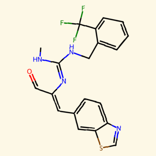 CN/C(=N\C(C=O)=C/c1ccc2ncsc2c1)NCc1ccccc1C(F)(F)F